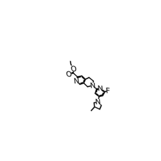 CCOC(=O)c1cc2c(cn1)CN(c1cc(N3CCC(C)C3)cc(F)n1)CC2